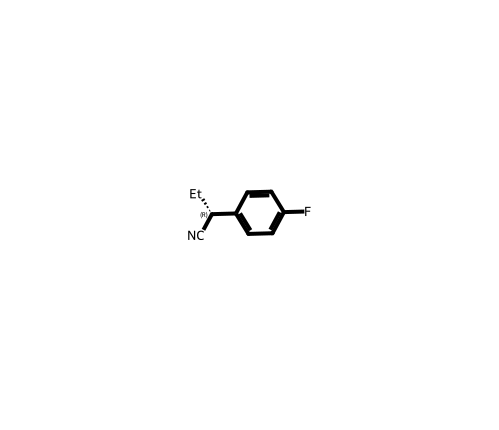 CC[C@@H](C#N)c1ccc(F)cc1